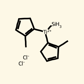 CC1=[C]([Ti+2]([SiH3])[C]2=C(C)C=CC2)CC=C1.[Cl-].[Cl-]